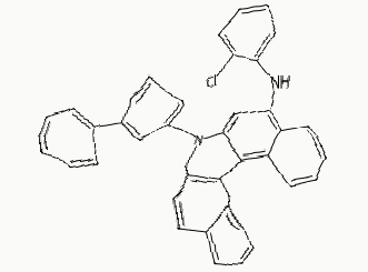 Clc1ccccc1Nc1cc2c(c3ccccc13)c1c3ccccc3ccc1n2-c1cccc(-c2ccccc2)c1